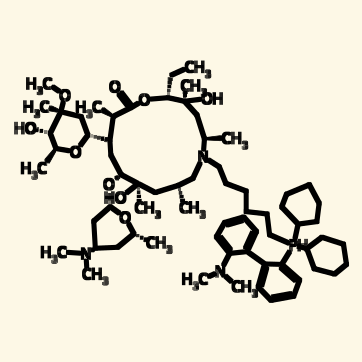 CC[C@H]1OC(=O)[C@H](C)C([C@H]2C[C@@](C)(OC)[C@@H](O)[C@H](C)O2)C[C@@H](O[C@H]2C[C@@H](N(C)C)C[C@@H](C)O2)[C@](C)(O)C[C@@H](C)CN(CCCCCC[PH](c2ccccc2-c2ccccc2N(C)C)(C2CCCCC2)C2CCCCC2)[C@H](C)C[C@]1(C)O